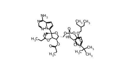 CCC(=O)O[C@H]1[C@@H](OC(=O)CC)[C@](C#N)(c2ccc3c(N)ncnn23)O[C@@H]1COP(=O)(N[C@@H](C)C(=O)OCC(CC)CC)Oc1ccc(C(C)(C)C)cc1